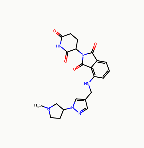 CN1CCC(n2cc(CNc3cccc4c3C(=O)N(C3CCC(=O)NC3=O)C4=O)cn2)C1